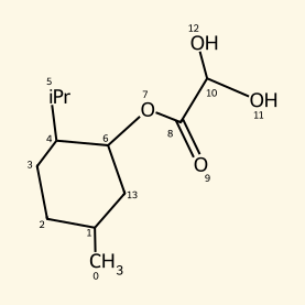 CC1CCC(C(C)C)C(OC(=O)C(O)O)C1